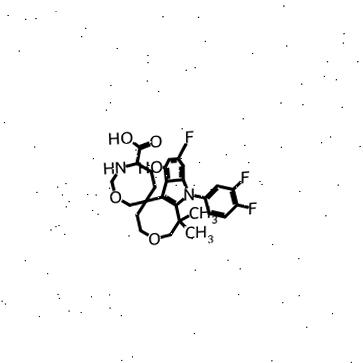 CC1(C)COCCC2(CCC(C(=O)O)NCOC2)c2c1n(-c1ccc(F)c(F)c1)c1cc(F)cc(O)c21